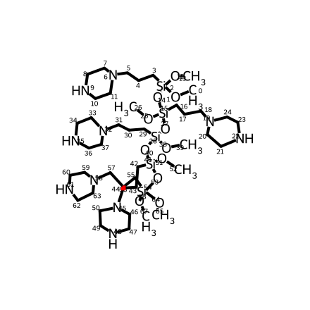 CO[Si](CCCN1CCNCC1)(OC)O[Si](CCCN1CCNCC1)(OC)O[Si](CCCN1CCNCC1)(OC)O[Si](CCCN1CCNCC1)(OC)O[Si](CCCN1CCNCC1)(OC)OC